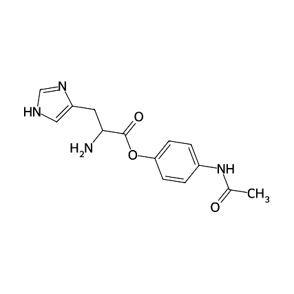 CC(=O)Nc1ccc(OC(=O)C(N)Cc2c[nH]cn2)cc1